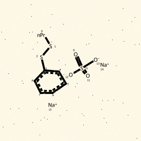 CCCSSc1ccccc1.O=S(=O)([O-])[O-].[Na+].[Na+]